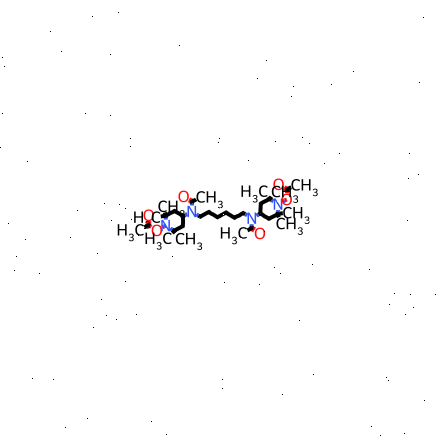 CC(=O)ON1C(C)(C)CC(N(CCCCCCN(C(C)=O)C2CC(C)(C)N(OC(C)=O)C(C)(C)C2)C(C)=O)CC1(C)C